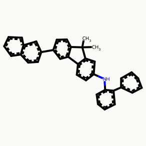 CC1(C)c2ccc(-c3ccc4ccccc4c3)cc2-c2ccc(Nc3ccccc3-c3ccccc3)cc21